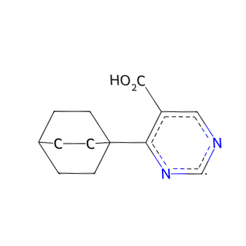 O=C(O)c1cn[c]nc1C12CCC(CC1)CC2